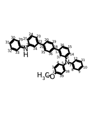 COc1ccc(N(c2ccccc2)c2cccc(-c3ccc(-c4cccc(Nc5ccccc5)c4)cc3)c2)cc1